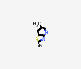 Cc1cnc2nc(C(C)C)sc2c1